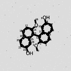 COc1ccc2ccc(O)cc2c1-c1c(OC)ccc2ccc(O)cc12